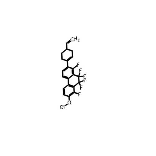 C=CC1CC=C(c2ccc3c(c2F)C(F)(F)C(F)(F)c2c-3ccc(OCC)c2F)CC1